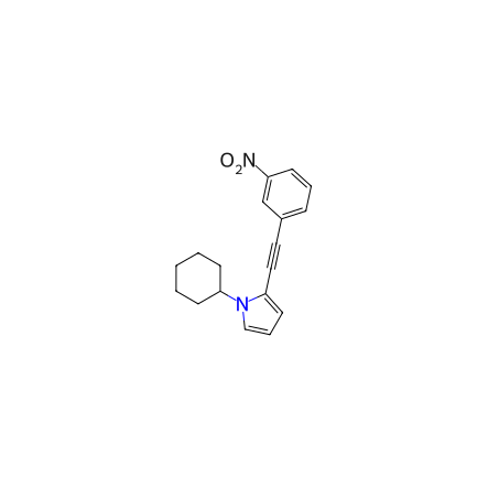 O=[N+]([O-])c1cccc(C#Cc2cccn2C2CCCCC2)c1